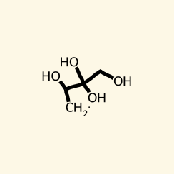 [CH2]C(O)C(O)(O)CO